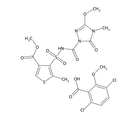 COC(=O)c1csc(C)c1S(=O)(=O)NC(=O)n1nc(OC)n(C)c1=O.COc1c(Cl)ccc(Cl)c1C(=O)O